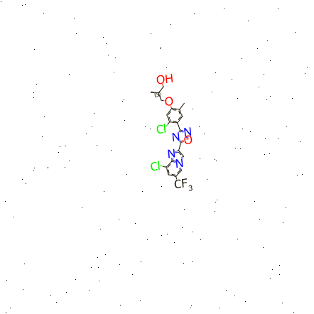 Cc1cc(-c2noc(-c3cn4cc(C(F)(F)F)cc(Cl)c4n3)n2)c(Cl)cc1OC[C@@H](C)CO